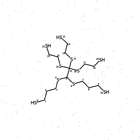 SCCCSC(SCCCS)C(SCCS)(SCCS)SCCS